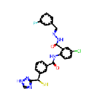 O=C(Nc1ccc(Cl)cc1C(=O)N/N=C/c1cccc(F)c1)c1cccc(C(S)c2nc[nH]n2)c1